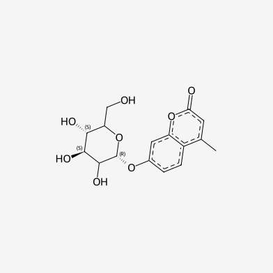 Cc1cc(=O)oc2cc(O[C@H]3OC(CO)[C@@H](O)[C@H](O)C3O)ccc12